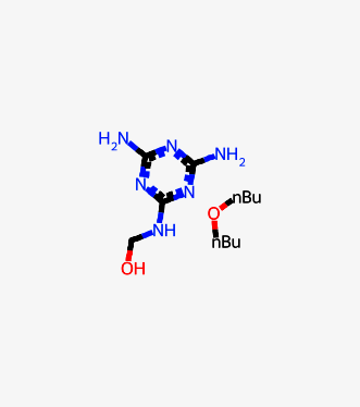 CCCCOCCCC.Nc1nc(N)nc(NCO)n1